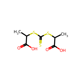 CC(SC(=S)SC(C)C(=O)O)C(=O)O